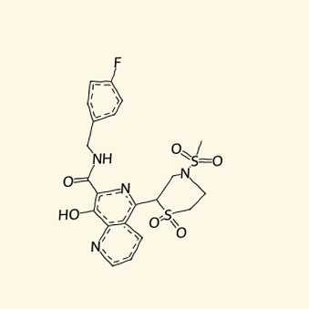 CS(=O)(=O)N1CCS(=O)(=O)C(c2nc(C(=O)NCc3ccc(F)cc3)c(O)c3ncccc23)C1